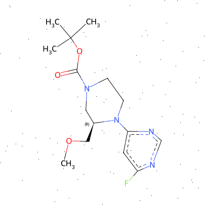 COC[C@H]1CN(C(=O)OC(C)(C)C)CCN1c1cc(F)ncn1